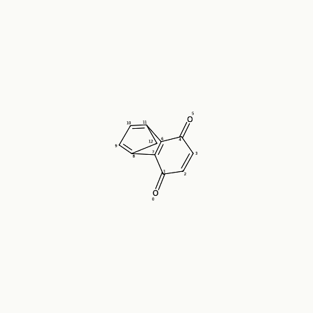 O=C1C=CC(=O)C2=C1C1=CC=C2C1